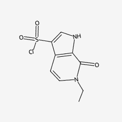 CCn1ccc2c(S(=O)(=O)Cl)c[nH]c2c1=O